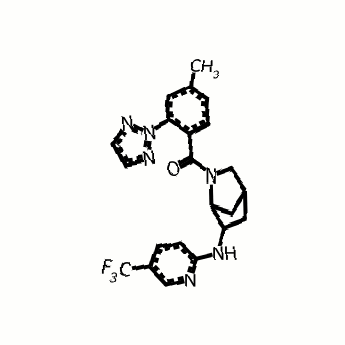 Cc1ccc(C(=O)N2CC3CC(Nc4ccc(C(F)(F)F)cn4)C2C3)c(-n2nccn2)c1